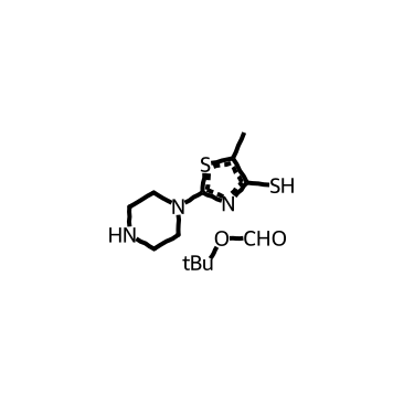 CC(C)(C)OC=O.Cc1sc(N2CCNCC2)nc1S